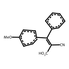 COc1ccc(C(=C(C#N)C(=O)O)c2ccccc2)cc1